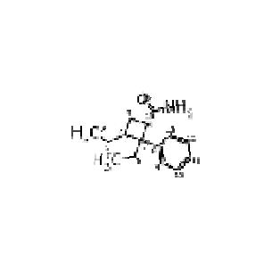 CCC1CCC1(CC)c1ccccc1.NC=O